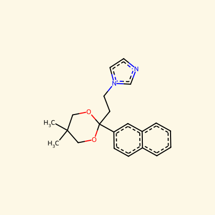 CC1(C)COC(CCn2ccnc2)(c2ccc3ccccc3c2)OC1